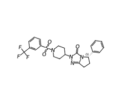 O=c1n(C2CCN(S(=O)(=O)c3cccc(C(F)(F)F)c3)CC2)nc2n1[C@H](c1ccccc1)CC2